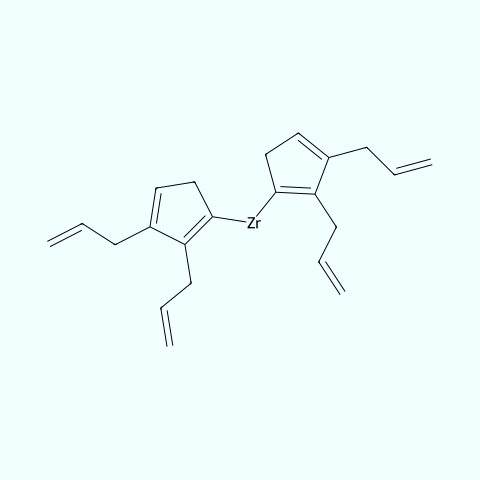 C=CCC1=CC[C]([Zr][C]2=C(CC=C)C(CC=C)=CC2)=C1CC=C